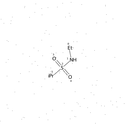 C[CH]NS(=O)(=O)C(C)C